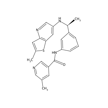 Cc1cncc(C(=O)Nc2cccc([C@H](C)Nc3cnc4cc(C)sc4c3)c2)c1